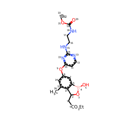 CCOC(=O)CC1OB(O)c2cc(Oc3ccnc(NCCNC(=O)OC(C)(C)C)n3)cc(C)c21